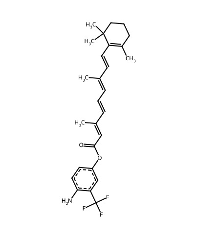 CC1=C(/C=C/C(C)=C/C=C/C(C)=C/C(=O)Oc2ccc(N)c(C(F)(F)F)c2)C(C)(C)CCC1